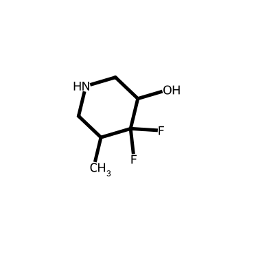 CC1CNCC(O)C1(F)F